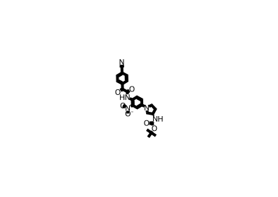 CC(C)(C)OC(=O)N[C@@H]1CCN(c2ccc(NC(=O)C(=O)c3ccc(C#N)cc3)c([N+](=O)[O-])c2)C1